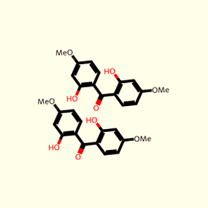 COc1ccc(C(=O)c2ccc(OC)cc2O)c(O)c1.COc1ccc(C(=O)c2ccc(OC)cc2O)c(O)c1